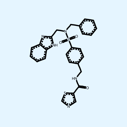 O=C(NCc1ccc(S(=O)(=O)N(Cc2ccccc2)Cc2nc3ccccc3[nH]2)cc1)c1cncs1